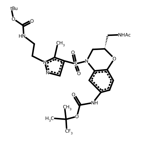 CC(=O)NC[C@H]1CN(S(=O)(=O)c2cnn(CCNC(=O)OC(C)(C)C)c2C)c2cc(NC(=O)OC(C)(C)C(F)(F)F)ccc2O1